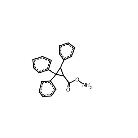 NOC(=O)C1C(c2ccccc2)C1(c1ccccc1)c1ccccc1